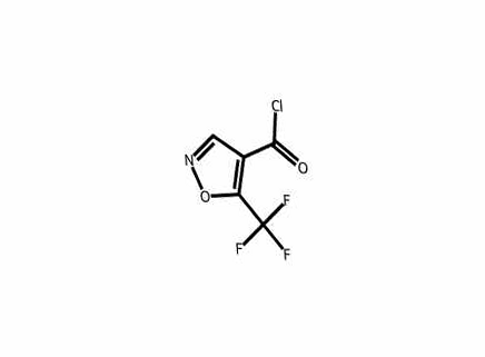 O=C(Cl)c1cnoc1C(F)(F)F